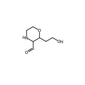 O=[C]C1NCCOC1CCO